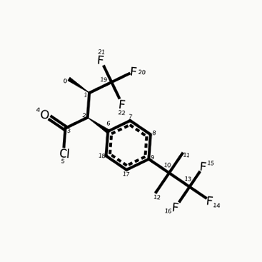 C[C@H]([C@H](C(=O)Cl)c1ccc(C(C)(C)C(F)(F)F)cc1)C(F)(F)F